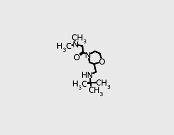 CN(C)CC(=O)N1CCOC(CNC(C)(C)C)C1